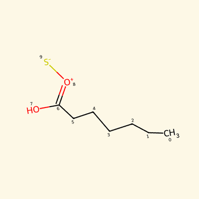 CCCCCCC(O)=[O+][S-]